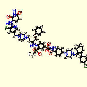 CC1(C)CCC(c2ccc(Cl)cc2)=C(CN2CCN(c3ccc(C(=O)NS(=O)(=O)c4ccc(N[C@H](CCN5CCN(Cc6cnc(NC7CCC(=O)NC7=O)c(F)c6)CC5)CSc5ccccc5)c(S(=O)(=O)C(F)(F)F)c4)cc3)CC2)C1